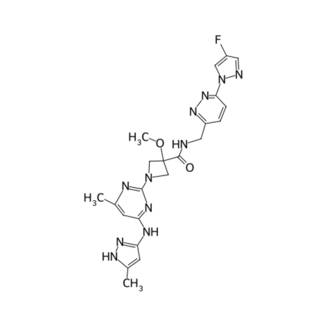 COC1(C(=O)NCc2ccc(-n3cc(F)cn3)nn2)CN(c2nc(C)cc(Nc3cc(C)[nH]n3)n2)C1